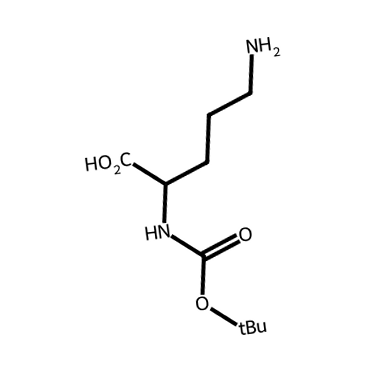 CC(C)(C)OC(=O)NC(CCCN)C(=O)O